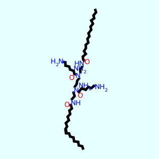 CCCCCCCC/C=C\CCCCCCCC(=O)NCCCN(CCCCN(CCCNC(=O)CCCCCCCCCCCCCCCCC)C(=O)[C@H](N)CCCCN)C(=O)[C@H](N)CCCCN